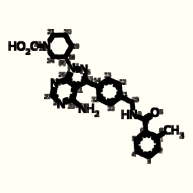 Cc1ccccc1C(=O)NCc1ccc(-c2nn([C@@H]3CCCN(C(=O)O)C3)c3ncnc(N)c23)cc1